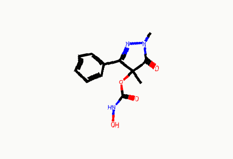 CN1N=C(c2ccccc2)C(C)(OC(=O)NO)C1=O